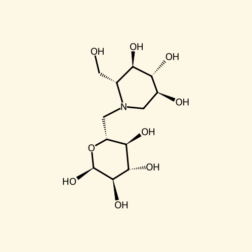 OC[C@@H]1[C@@H](O)[C@H](O)[C@@H](O)CN1C[C@H]1O[C@H](O)[C@H](O)[C@@H](O)[C@@H]1O